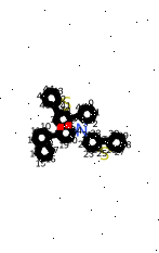 c1ccc(N(c2ccc(-c3cccc4ccccc34)cc2)c2ccc3sc4ccccc4c3c2)c(-c2cccc3c2sc2ccccc23)c1